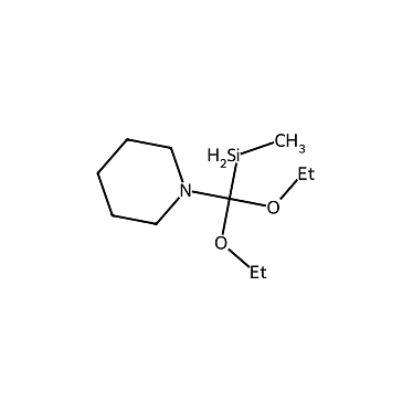 CCOC(OCC)([SiH2]C)N1CCCCC1